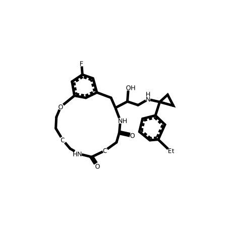 CCc1cccc(C2(NCC(O)C3Cc4cc(F)cc(c4)OCCCCNC(=O)CCC(=O)N3)CC2)c1